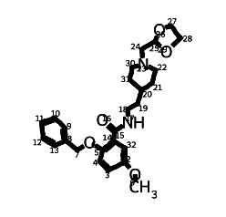 COc1ccc(OCc2ccccc2)c(C(=O)NCCC2CCN(CC3OCCO3)CC2)c1